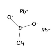 [O-]B([O-])O.[Rb+].[Rb+]